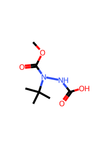 COC(=O)N(NC(=O)O)C(C)(C)C